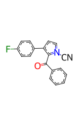 N#Cn1ccc(-c2ccc(F)cc2)c1C(=O)c1ccccc1